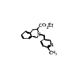 CCOC(=O)C1Cc2ccccc2CN1Cc1ccc(C)nc1